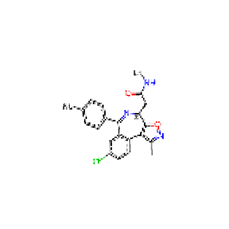 CCNC(=O)C[C@@H]1N=C(c2ccc(C#N)cc2)c2cc(Cl)ccc2-c2c(C)noc21